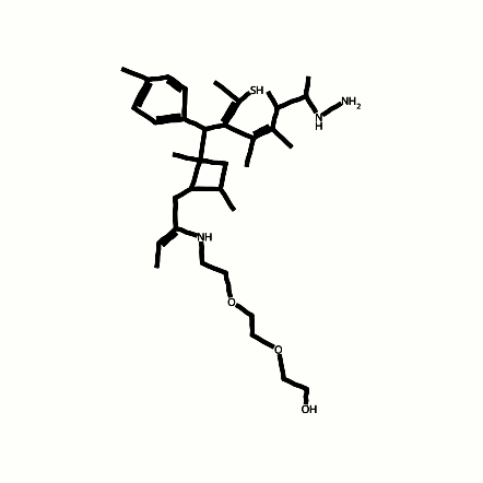 C/C=C(/CC1C(C)CC1(C)C(C(=C(\C)S)/C(C)=C(/C)C(C)C(C)NN)c1ccc(C)cc1)NCCOCCOCCO